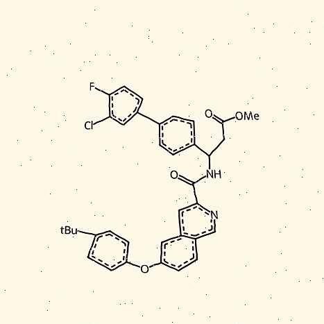 COC(=O)CC(NC(=O)c1cc2cc(Oc3ccc(C(C)(C)C)cc3)ccc2cn1)c1ccc(-c2ccc(F)c(Cl)c2)cc1